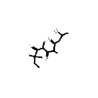 CCC(C)(C)C(=O)C(C)C(=O)C(C)C(=O)CC(C)N